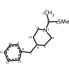 CSC(C)N1CCC(Cc2ccccc2)CC1